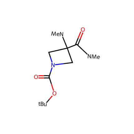 CNC(=O)C1(NC)CN(C(=O)OC(C)(C)C)C1